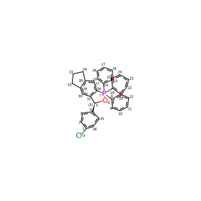 Clc1ccc([C@@H]2OP(c3ccccc3)(c3ccccc3)(c3ccccc3)c3cc4c(cc32)CCC4)cc1